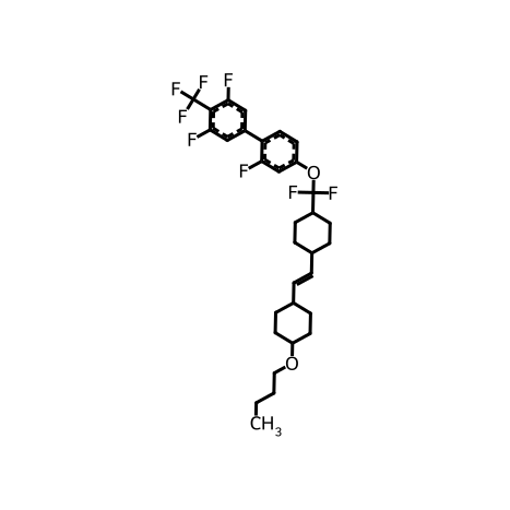 CCCCOC1CCC(/C=C/C2CCC(C(F)(F)Oc3ccc(-c4cc(F)c(C(F)(F)F)c(F)c4)c(F)c3)CC2)CC1